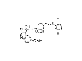 COc1ccc2ncc(Cl)c([C@H](O)CCC3(C(=O)O)CCN(CCSc4cc(F)ccc4F)CC3)c2c1